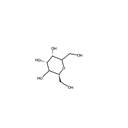 OCC1O[C@@H](CO)C(O)[C@H](O)[C@@H]1O